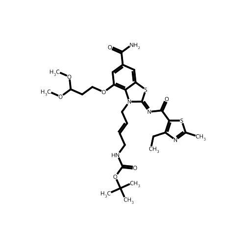 CCc1nc(C)sc1C(=O)/N=c1\sc2cc(C(N)=O)cc(OCCC(OC)OC)c2n1C/C=C/CNC(=O)OC(C)(C)C